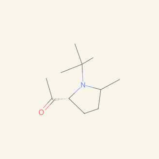 CC(=O)[C@H]1CCC(C)N1C(C)(C)C